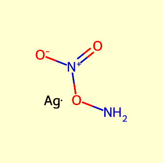 NO[N+](=O)[O-].[Ag]